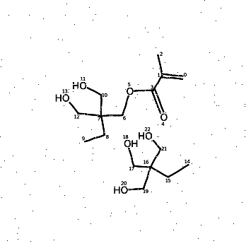 C=C(C)C(=O)OCC(CC)(CO)CO.CCC(CO)(CO)CO